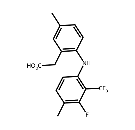 Cc1ccc(Nc2ccc(C)c(F)c2C(F)(F)F)c(CC(=O)O)c1